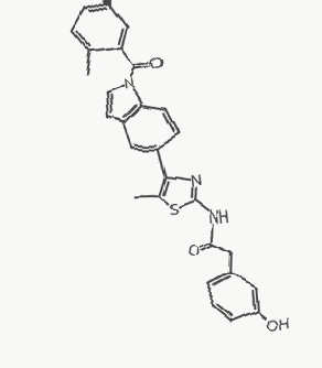 Cc1ccccc1C(=O)n1ccc2cc(-c3nc(NC(=O)Cc4cccc(O)c4)sc3C)ccc21